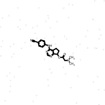 CN(C)CC(=O)OC1CCc2c(Nc3ccc(C#N)cc3)ncnc21